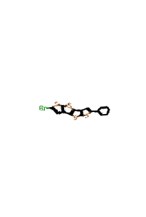 Brc1cc2c(s1)sc1c3cc(-c4ccccc4)sc3sc21